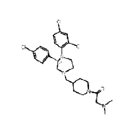 CN(C)CC(=O)N1CCC(CN2CCN(c3ccc(Cl)cc3Cl)[C@H](c3ccc(Cl)cc3)C2)CC1